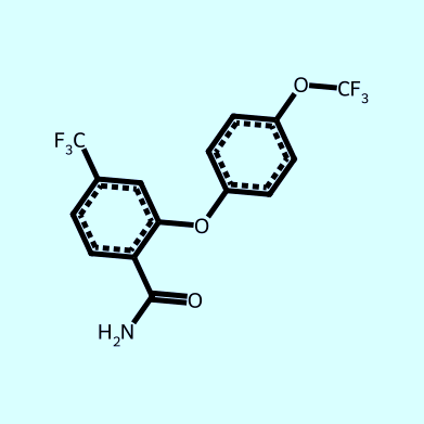 NC(=O)c1ccc(C(F)(F)F)cc1Oc1ccc(OC(F)(F)F)cc1